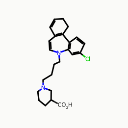 O=C(O)C1CCCN(CCCCN2C=CC3=C(CCC=C3)c3ccc(Cl)cc32)C1